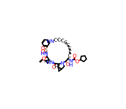 C=C[C@@H]1C[C@@]12NC(=O)[C@@H]1C3CC3CN1C(=O)[C@@H](NC(=O)OC1CCCC1)CCCCCCCCNc1ccccc1S(=O)(=O)NC2=O